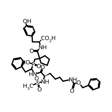 CS(=O)(=O)N[C@H](CCCCNC(=O)OCc1ccccc1)C(=O)NC(Cc1ccccc1)P(=O)(O)CC1(C(=O)N[C@@H](Cc2ccc(O)cc2)C(=O)O)CCCC1